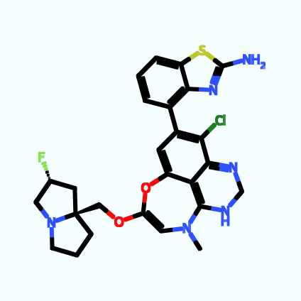 CN1C=C(OC[C@@]23CCCN2C[C@H](F)C3)Oc2cc(-c3cccc4sc(N)nc34)c(Cl)c3c2=C1NCN=3